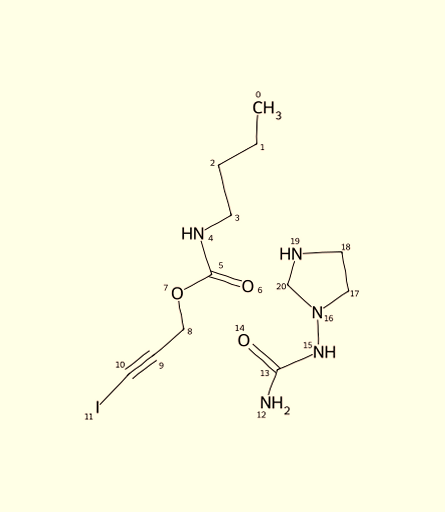 CCCCNC(=O)OCC#CI.NC(=O)NN1CCNC1